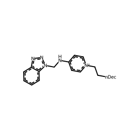 CCCCCCCCCCCC[n+]1ccc(NCn2nnc3ccccc32)cc1